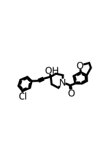 O=C(c1ccc2c(c1)OCC2)N1CCC(O)(C#Cc2cccc(Cl)c2)CC1